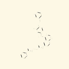 O=C(CCNC(=O)c1ccccc1)Nc1ccc2ncnc(Nc3ccc(OCc4cccc(F)c4)c(Cl)c3)c2c1